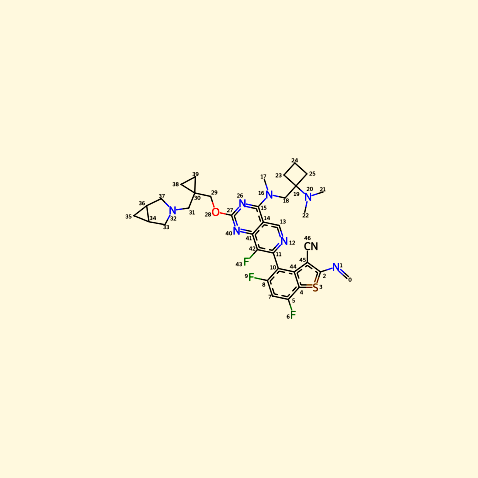 C=Nc1sc2c(F)cc(F)c(-c3ncc4c(N(C)CC5(N(C)C)CCC5)nc(OCC5(CN6CC7CC7C6)CC5)nc4c3F)c2c1C#N